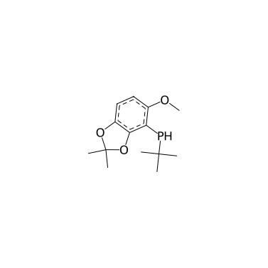 COc1ccc2c(c1PC(C)(C)C)OC(C)(C)O2